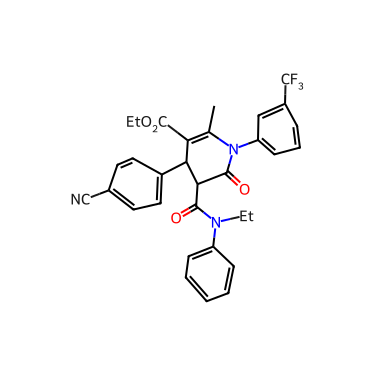 CCOC(=O)C1=C(C)N(c2cccc(C(F)(F)F)c2)C(=O)C(C(=O)N(CC)c2ccccc2)C1c1ccc(C#N)cc1